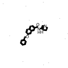 O=C(NC1CN2CC[C@H]1C2)c1ccc2ccc(OCc3ccccc3)cc2c1